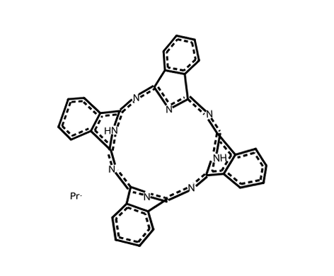 [Pr].c1ccc2c(c1)-c1nc-2nc2[nH]c(nc3nc(nc4[nH]c(n1)c1ccccc41)-c1ccccc1-3)c1ccccc21